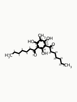 CCCCCCC(=O)c1c(O)c(C)c(O)c(C(=O)CCCCCC)c1O